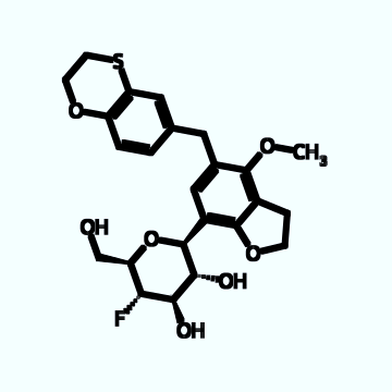 COc1c(Cc2ccc3c(c2)SCCO3)cc([C@@H]2O[C@H](CO)[C@@H](F)[C@H](O)[C@H]2O)c2c1CCO2